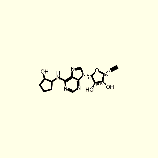 C#C[C@H]1O[C@@H](n2cnc3c(NC4CCCC4O)ncnc32)[C@H](O)[C@@H]1O